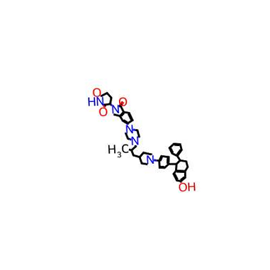 CC(CC1CCN(c2ccc(C3c4ccc(O)cc4CCC3c3ccccc3)cc2)CC1)CN1CCN(c2ccc3c(c2)CN(C2CCC(=O)NC2=O)C3=O)CC1